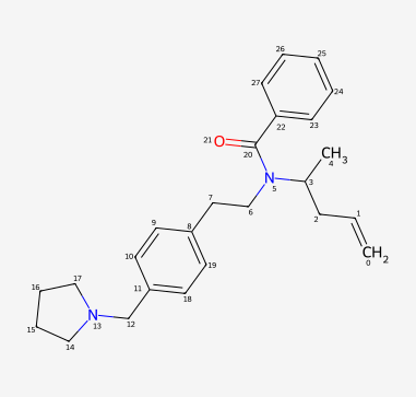 C=CCC(C)N(CCc1ccc(CN2CCCC2)cc1)C(=O)c1ccccc1